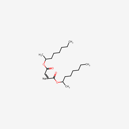 CCCCCCC(C)OC(=O)/C=C\C(=O)OC(C)CCCCCC.[NaH]